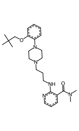 CN(C)C(=O)c1cccnc1NCCCN1CCN(c2ccccc2OCC(C)(C)C)CC1